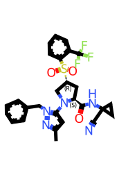 Cc1cc(N2C[C@H](S(=O)(=O)c3ccccc3C(F)(F)F)C[C@H]2C(=O)NC2(C#N)CC2)n(Cc2ccccc2)n1